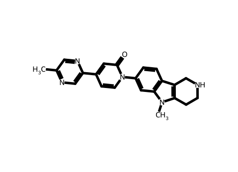 Cc1cnc(-c2ccn(-c3ccc4c5c(n(C)c4c3)CCNC5)c(=O)c2)cn1